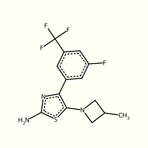 CC1CN(c2sc(N)nc2-c2cc(F)cc(C(F)(F)F)c2)C1